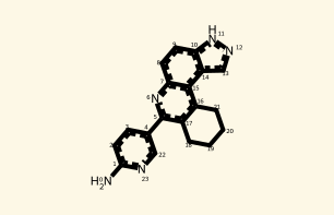 Nc1ccc(-c2nc3ccc4[nH]ncc4c3c3c2CCCC3)cn1